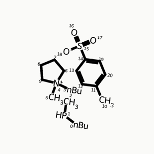 CCCCPC.CCCC[N+]1(C)CCCC1.Cc1ccc(S(=O)(=O)[O-])cc1